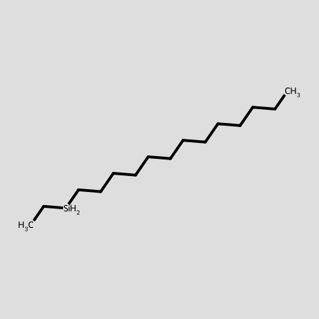 CCCCCCCCCCCCC[SiH2]CC